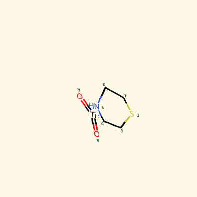 C1CSCCN1.[O]=[Ti]=[O]